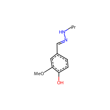 COc1cc(C=NNC(C)C)ccc1O